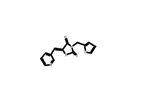 O=C1C(=Cc2cccnc2)SC(=S)N1Cc1ccco1